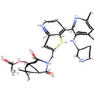 Cc1cc(C)c(NC2CCNC2)c(-c2ccnc3cc(CN4C(=O)C5C(C)(C)C5(OC(=O)C(F)(F)F)C4=O)sc23)n1